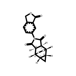 O=C1OCc2ccc(N3C(=O)[C@@H]4[C@@H]5CC[C@@H]([C@@H]6C[C@@H]65)[C@@H]4C3=O)cc21